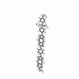 Cc1ccc(C(c2ccc(-c3nc4cc5nc(-c6ccc(-c7nc8cc9nc(C)oc9cc8o7)cc6)oc5cc4o3)cc2)(C(F)(F)F)C(F)(F)F)cc1